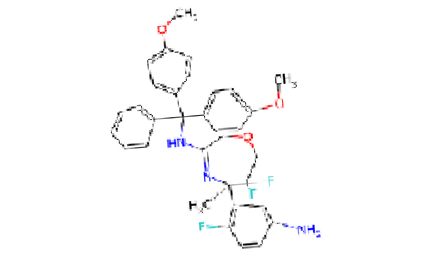 COc1ccc(C(NC2=N[C@](C)(c3cc(N)ccc3F)C(F)(F)COC2)(c2ccccc2)c2ccc(OC)cc2)cc1